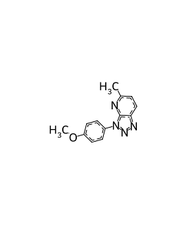 COc1ccc(-n2nnc3ccc(C)nc32)cc1